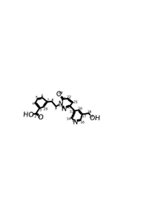 O=C(O)c1cccc(CCn2nc(-c3cncc(CO)c3)ccc2=O)c1